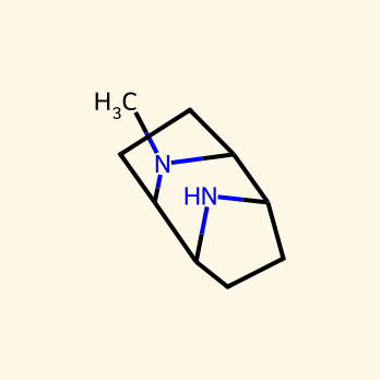 CN1C2CCC1C1CCC2N1